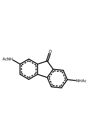 CC(=O)Nc1ccc2c(c1)C(=O)c1cc(NC(C)=O)ccc1-2